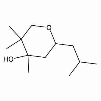 CC(C)CC1CC(C)(O)C(C)(C)CO1